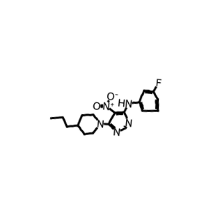 CCCC1CCN(c2ncnc(Nc3cccc(F)c3)c2[N+](=O)[O-])CC1